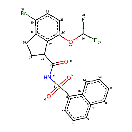 O=C(NS(=O)(=O)c1cccc2ccccc12)C1CCc2c(Br)ccc(OC(F)F)c21